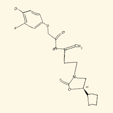 C=C(CCN1C[C@@H](C2CCC2)OC1=O)NC(=O)COc1ccc(Cl)c(F)c1